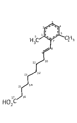 Cc1cccc(C)c1C=CCCCCCCCC(=O)O